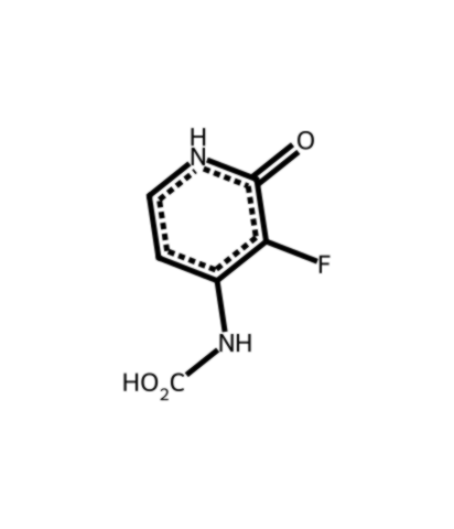 O=C(O)Nc1cc[nH]c(=O)c1F